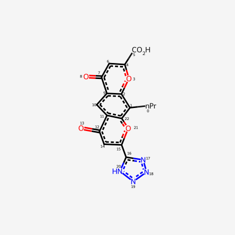 CCCc1c2oc(C(=O)O)cc(=O)c2cc2c(=O)cc(-c3nnn[nH]3)oc12